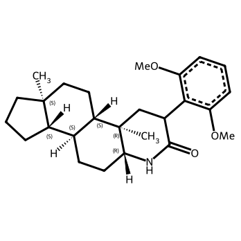 COc1cccc(OC)c1C1C[C@@]2(C)[C@@H](CC[C@H]3[C@@H]4CCC[C@@]4(C)CC[C@@H]32)NC1=O